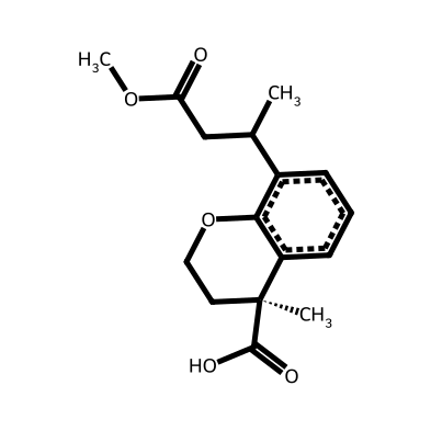 COC(=O)CC(C)c1cccc2c1OCC[C@]2(C)C(=O)O